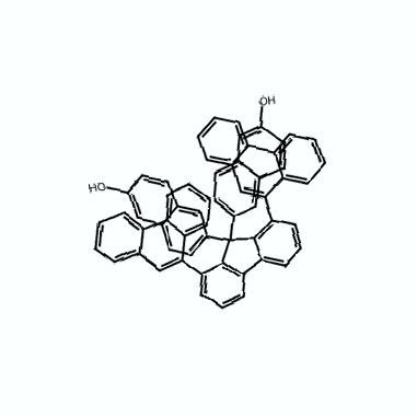 Oc1ccc2cc(C3(c4ccc5cc(O)ccc5c4)c4c(cccc4-c4cc5ccccc5c5ccccc45)-c4cccc(-c5cc6ccccc6c6ccccc56)c43)ccc2c1